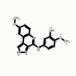 COc1ccc2nc(Nc3ccc(OC)c(O)c3)c3n[nH]cc3c2c1